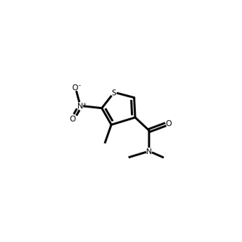 Cc1c(C(=O)N(C)C)csc1[N+](=O)[O-]